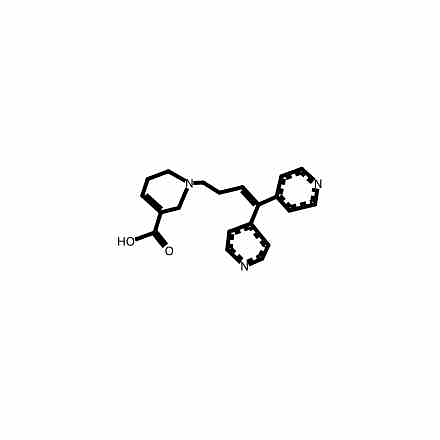 O=C(O)C1=CCCN(CCC=C(c2ccncc2)c2ccncc2)C1